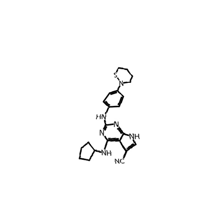 N#Cc1c[nH]c2nc(Nc3ccc(N4CCCCS4)cc3)nc(NC3CCCC3)c12